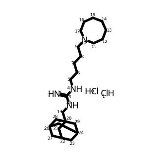 Cl.Cl.N=C(NCCCCCN1CCCCCCC1)NCC12CC3CC(CC(C3)C1)C2